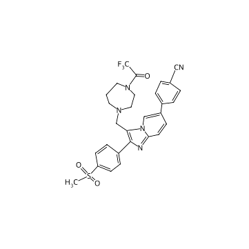 CS(=O)(=O)c1ccc(-c2nc3ccc(-c4ccc(C#N)cc4)cn3c2CN2CCCN(C(=O)C(F)(F)F)CC2)cc1